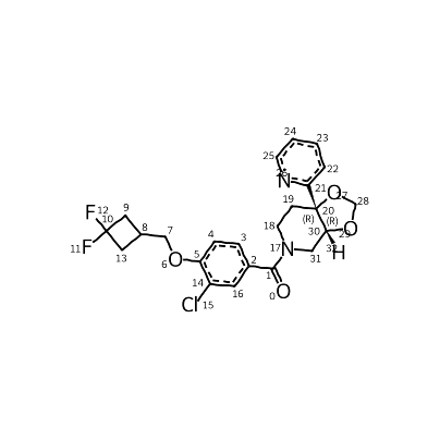 O=C(c1ccc(OCC2CC(F)(F)C2)c(Cl)c1)N1CC[C@]2(c3ccccn3)OCO[C@@H]2C1